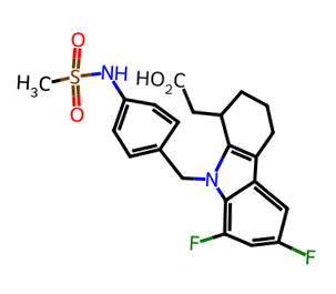 CS(=O)(=O)Nc1ccc(Cn2c3c(c4cc(F)cc(F)c42)CCCC3CC(=O)O)cc1